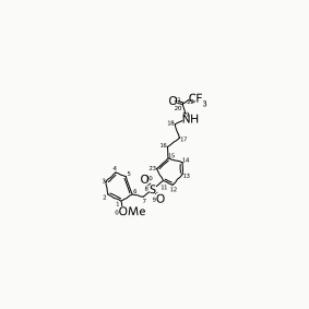 COc1ccccc1CS(=O)(=O)c1cccc(CCCNC(=O)C(F)(F)F)c1